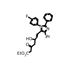 CCOC(=O)CC(=O)CC(O)/C=C/c1c(C(C)C)nc(-c2ccccc2)n1-c1ccc(F)cc1